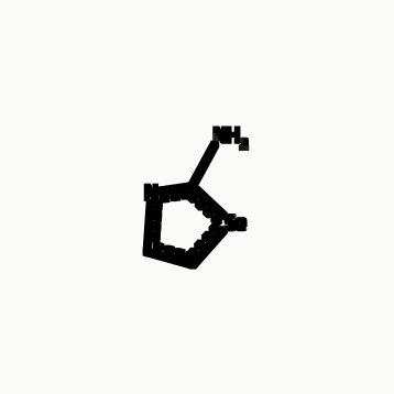 Nc1ncc[se]1